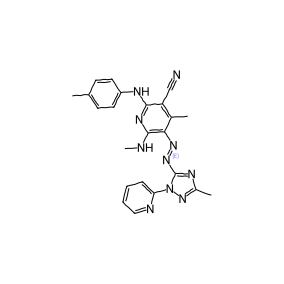 CNc1nc(Nc2ccc(C)cc2)c(C#N)c(C)c1/N=N/c1nc(C)nn1-c1ccccn1